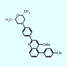 COc1cc(-c2ccc(N3C[C@@H](C)O[C@@H](C)C3)cc2)nc2cccc(-c3ccc(C#N)cc3)c12